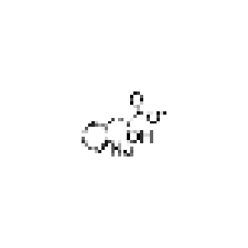 O=C([O-])C(O)Cc1ccccc1.[Na+]